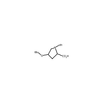 CCCN1CC(OC(C)(C)C)CC1C(=O)O